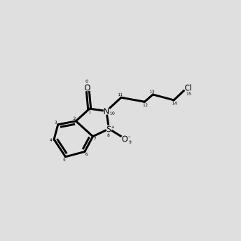 O=c1c2ccccc2[s+]([O-])n1CCCCCl